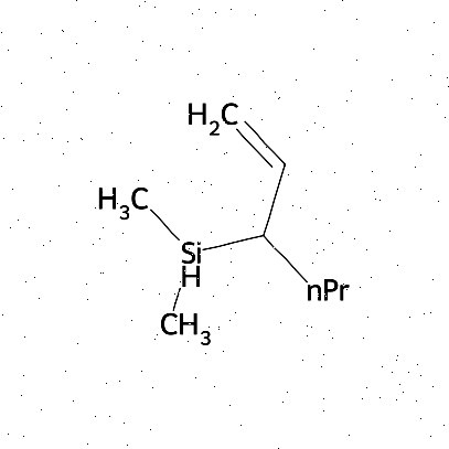 C=CC(CCC)[SiH](C)C